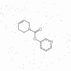 O=C(Oc1cccnc1)N1CC=CCC1